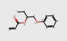 C=CC(=O)OC(CC)COc1ccccc1